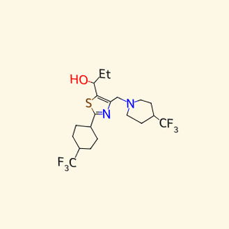 CCC(O)c1sc(C2CCC(C(F)(F)F)CC2)nc1CN1CCC(C(F)(F)F)CC1